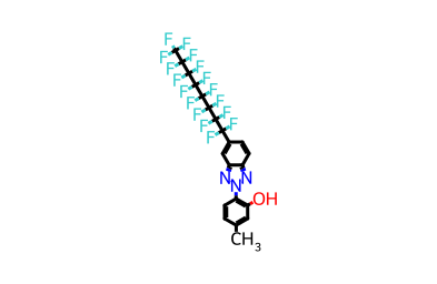 Cc1ccc(-n2nc3ccc(C(F)(F)C(F)(F)C(F)(F)C(F)(F)C(F)(F)C(F)(F)C(F)(F)C(F)(F)F)cc3n2)c(O)c1